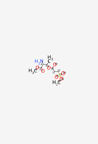 COC(=O)C(N)C(C)OC(=O)CCS(=O)(=O)OC